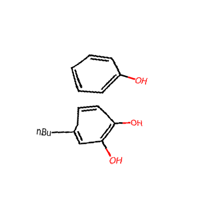 CCCCc1ccc(O)c(O)c1.Oc1ccccc1